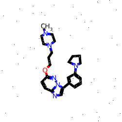 CN1CCN(CCCOc2ccc3ncc(-c4cccc(N5CCCC5)c4)n3n2)CC1